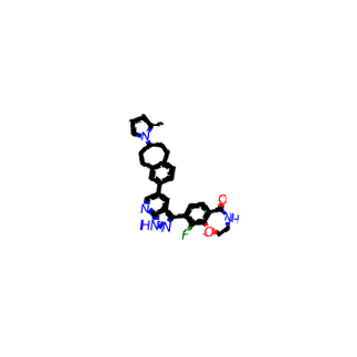 C[C@@H]1CCCN1C1CCc2ccc(-c3cnc4[nH]nc(-c5ccc6c(c5F)OCCNC6=O)c4c3)cc2CC1